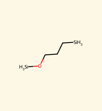 [SiH3]CCCO[SiH3]